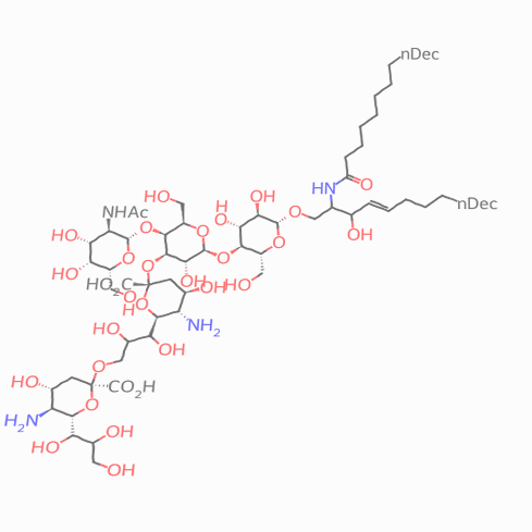 CCCCCCCCCCCCCC=CC(O)C(CO[C@@H]1O[C@H](CO)[C@@H](O[C@@H]2O[C@H](CO)[C@H](O[C@@H]3O[C@H](CO)[C@H](O)[C@H](O)[C@H]3NC(C)=O)[C@H](O[C@]3(C(=O)O)C[C@@H](O)[C@H](N)[C@@H](C(O)C(O)CO[C@]4(C(=O)O)C[C@@H](O)[C@H](N)[C@@H](C(O)C(O)CO)O4)O3)[C@H]2O)[C@H](O)[C@H]1O)NC(=O)CCCCCCCCCCCCCCCCC